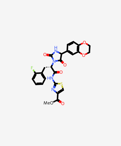 COC(=O)c1csc(NC(=O)[C@H](Cc2ccccc2F)N2C(=O)NC(c3ccc4c(c3)OCCO4)C2=O)n1